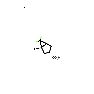 O=C(O)[C@H]1CC2[C@H](C1)C2(F)F